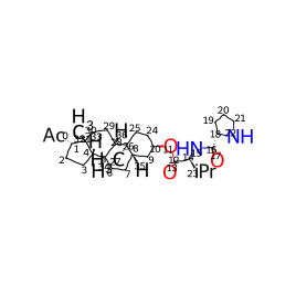 CC(=O)[C@H]1CC[C@H]2[C@@H]3CC[C@H]4C[C@H](OC(=O)[C@@H](NC(=O)[C@@H]5CCCN5)C(C)C)CC[C@]4(C)[C@H]3CC[C@]12C